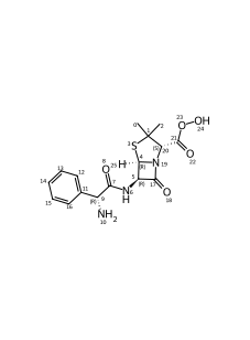 CC1(C)S[C@@H]2[C@H](NC(=O)[C@H](N)c3ccccc3)C(=O)N2[C@H]1C(=O)OO